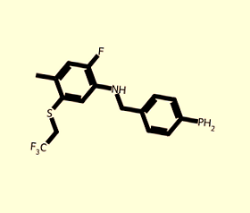 Cc1cc(F)c(NCc2ccc(P)cc2)cc1SCC(F)(F)F